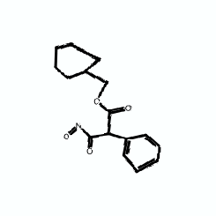 O=NC(=O)C(C(=O)OCC1CCCCC1)c1ccccc1